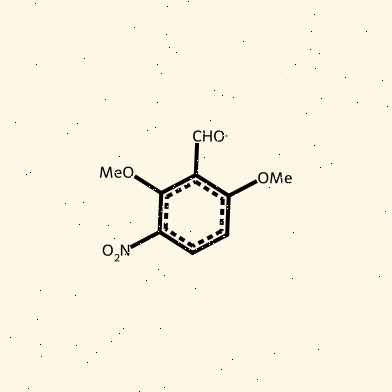 COc1ccc([N+](=O)[O-])c(OC)c1[C]=O